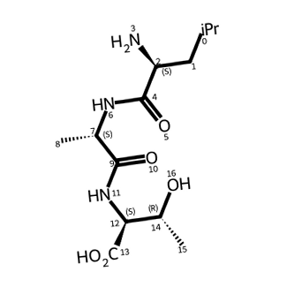 CC(C)C[C@H](N)C(=O)N[C@@H](C)C(=O)N[C@H](C(=O)O)[C@@H](C)O